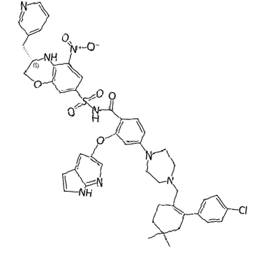 CC1(C)CCC(CN2CCN(c3ccc(C(=O)NS(=O)(=O)c4cc5c(c([N+](=O)[O-])c4)N[C@@H](Cc4cccnc4)CO5)c(Oc4cnc5[nH]ccc5c4)c3)CC2)=C(c2ccc(Cl)cc2)C1